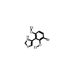 CCOc1ccc(Br)c(OCC)c1C1=CSCN1